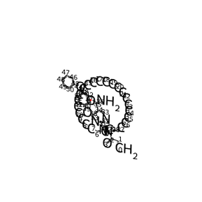 C=CC(=O)N1CC2CCCCCCCCCCCCCCCCCCCCCC1CN2c1ncc(C(N)=O)c(Oc2ccc(Oc3ccccc3)cc2)n1